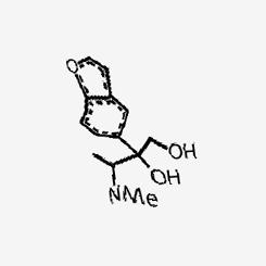 CNC(C)C(O)(CO)c1ccc2occc2c1